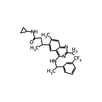 Cc1nc(N[C@H](C)c2cccc(C(F)(F)F)c2)c2cc(C(C)CC(=O)NC3CC3)c(C)cc2n1